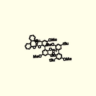 COc1cc(-c2cc(OC)cc(C(C)(C)C)c2OPOc2c(-c3cc(OC)cc(C(C)(C)C)c3Op3oc4ccccc4c4ccccc4o3)cc(OC)cc2C(C)(C)C)cc(C(C)(C)C)c1